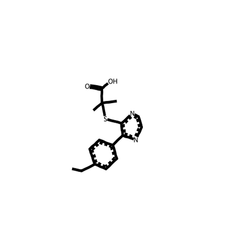 CCc1ccc(-c2nccnc2SC(C)(C)C(=O)O)cc1